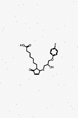 O=C(O)CCCCCCC1C(=O)C=CC1SCC(O)COc1ccc(F)cc1